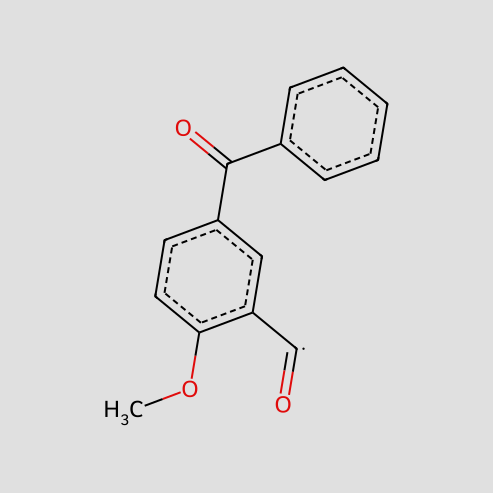 COc1ccc(C(=O)c2ccccc2)cc1[C]=O